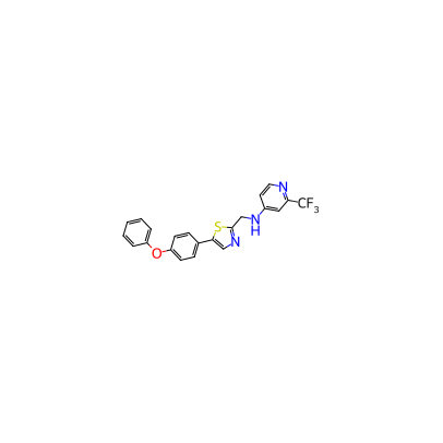 FC(F)(F)c1cc(NCc2ncc(-c3ccc(Oc4ccccc4)cc3)s2)ccn1